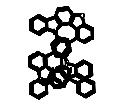 c1ccc(-c2nc(-c3ccccc3)nc(-c3cc(-c4cccc5oc6ccc7c8ccccc8n(-c8ccccc8)c7c6c45)ccc3-c3cccc4oc5ccc6c7ccccc7n(-c7ccccc7)c6c5c34)n2)cc1